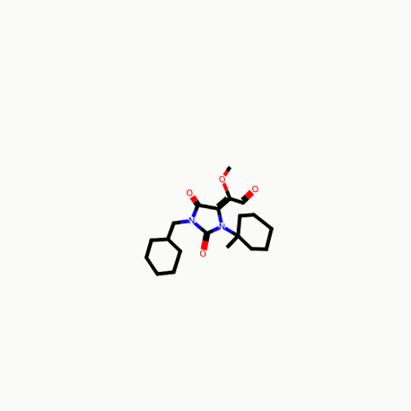 COC(C=O)=C1C(=O)N(CC2CCCCC2)C(=O)N1C1(C)CCCCC1